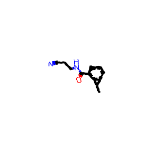 CC1c2cccc(C(=O)NCCC#N)c21